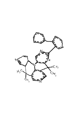 CC1(C)c2cncc3c2N(c2cnc(-c4ccccc4-c4ccccc4)nc21)C1C=CN=CC1C3(C)C